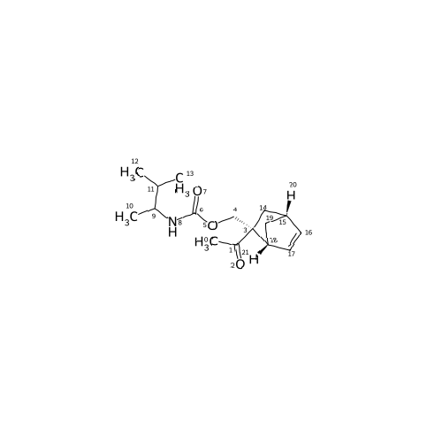 CC(=O)[C@@]1(COC(=O)NC(C)C(C)C)C[C@@H]2C=C[C@H]1C2